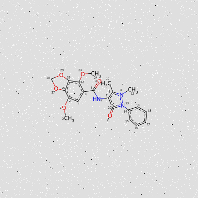 COc1cc(C(=O)Nc2c(C)n(C)n(-c3ccccc3)c2=O)c(OC)c2c1OCO2